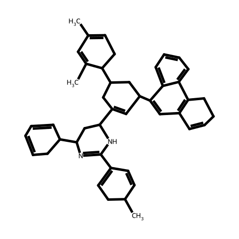 CC1=CCC(C2CC(C3CC(C4C=CC=CC4)N=C(C4=CCC(C)C=C4)N3)=CC(c3cc4c(c5ccccc35)CCC=C4)C2)C(C)=C1